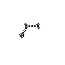 C=C1/C=C\C=C/N(c2ccc(-c3ccc(-c4ccc(N(c5ccccc5)c5ccc(-c6ccc(-c7ccc(-n8c9c(c%10ccccc%108)=CCCC=9)cc7)cc6)cc5)cc4)cc3)cc2)c2ccccc21